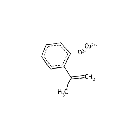 C=C(C)c1ccccc1.[Cu+2].[O-2]